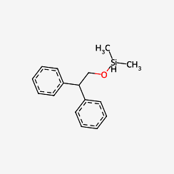 C[SiH](C)OCC(c1ccccc1)c1ccccc1